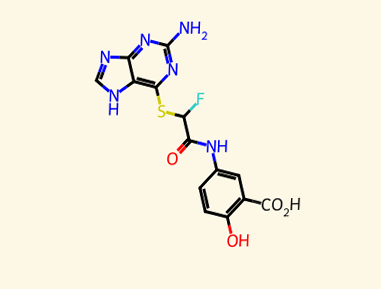 Nc1nc(SC(F)C(=O)Nc2ccc(O)c(C(=O)O)c2)c2[nH]cnc2n1